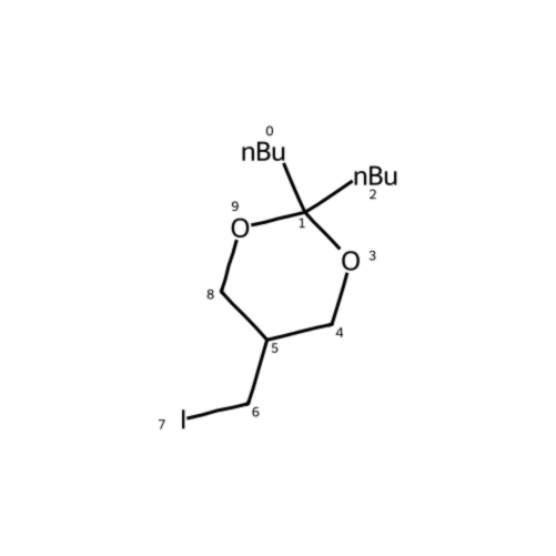 CCCCC1(CCCC)OCC(CI)CO1